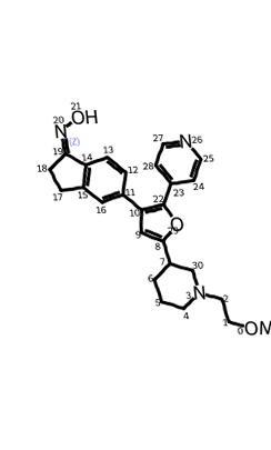 COCCN1CCCC(c2cc(-c3ccc4c(c3)CC/C4=N/O)c(-c3ccncc3)o2)C1